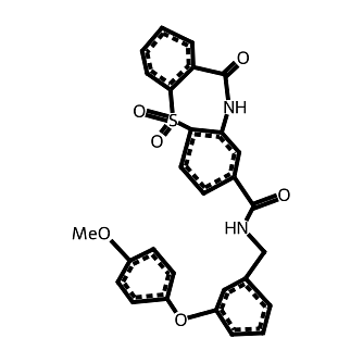 COc1ccc(Oc2cccc(CNC(=O)c3ccc4c(c3)NC(=O)c3ccccc3S4(=O)=O)c2)cc1